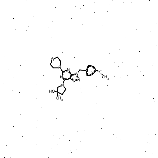 COc1ccc(Cn2nnc3c(N4CC[C@](C)(O)C4)nc(N4CCOCC4)nc32)cc1